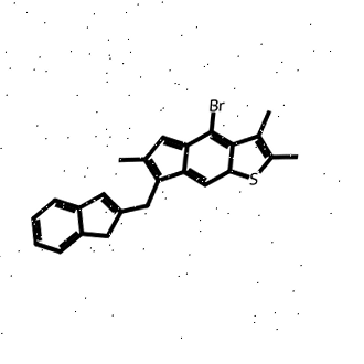 CC1=C(CC2=Cc3ccccc3C2)C2=CC3SC(C)=C(C)C3=C(Br)C2=C1